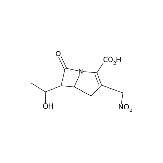 CC(O)C1C(=O)N2C(C(=O)O)=C(C[N+](=O)[O-])CC12